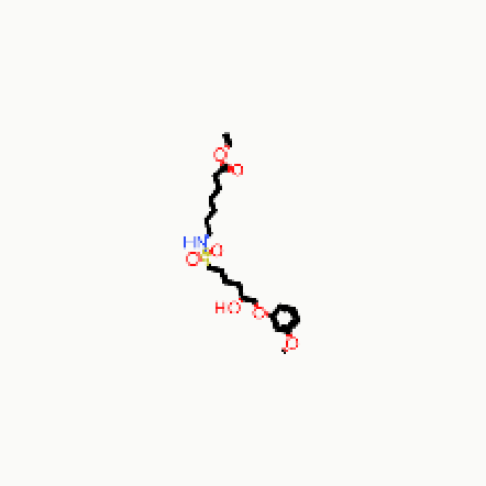 CCOC(=O)CCCCCCNS(=O)(=O)CCCCC(O)COc1cccc(OC)c1